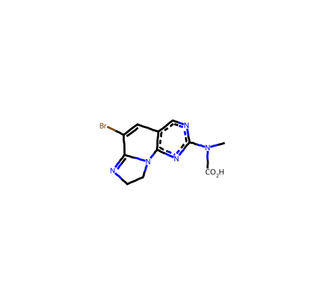 CN(C(=O)O)c1ncc2c(n1)N1CCN=C1C(Br)=C2